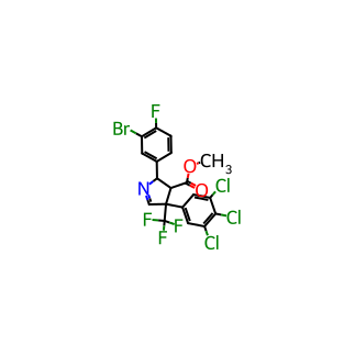 COC(=O)C1C(c2ccc(F)c(Br)c2)N=CC1(c1cc(Cl)c(Cl)c(Cl)c1)C(F)(F)F